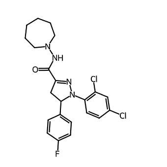 O=C(NN1CCCCCC1)C1=NN(c2ccc(Cl)cc2Cl)C(c2ccc(F)cc2)C1